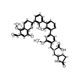 COc1nc(-c2cccc(-c3cccc(-c4ccc5c(OC)c(C=O)cc(Cl)c5n4)c3Cl)c2Cl)ccc1CN(CC1CCC(=O)N1)C(=O)O